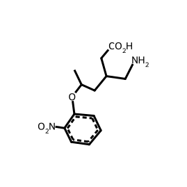 CC(CC(CN)CC(=O)O)Oc1ccccc1[N+](=O)[O-]